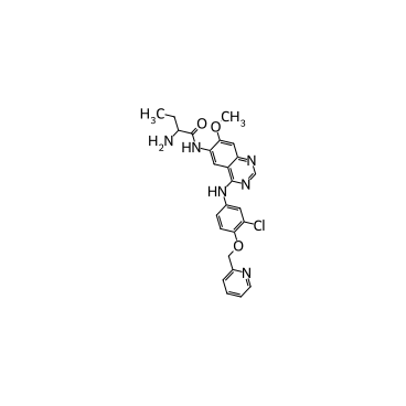 CCC(N)C(=O)Nc1cc2c(Nc3ccc(OCc4ccccn4)c(Cl)c3)ncnc2cc1OC